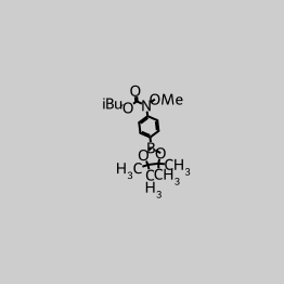 CCC(C)OC(=O)N(OC)c1ccc(B2OC(C)(C)C(C)(C)O2)cc1